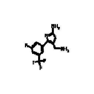 NCc1sc(N)nc1-c1cc(F)cc(C(F)(F)F)c1